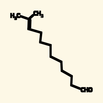 CC(C)=CCCCCCCCCC=O